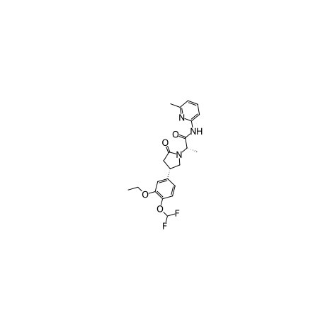 CCOc1cc([C@@H]2CC(=O)N([C@@H](C)C(=O)Nc3cccc(C)n3)C2)ccc1OC(F)F